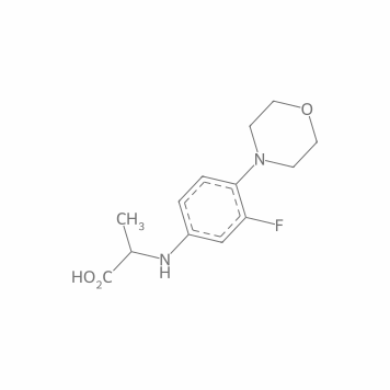 CC(Nc1ccc(N2CCOCC2)c(F)c1)C(=O)O